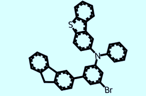 Brc1cc(-c2ccc3c(c2)-c2ccccc2C3)cc(N(c2ccccc2)c2ccc3sc4ccccc4c3c2)c1